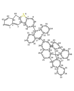 C1=CC2=Cc3c(sc4ccc(-c5c6ccccc6c(-c6ccc7c8c(ccc7c6)-c6cc7ccccc7cc6C86c7ccccc7-c7ccccc76)c6ccccc56)cc34)CC2C=C1